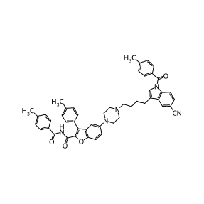 Cc1ccc(C(=O)NC(=O)c2oc3ccc(N4CCN(CCCCc5cn(C(=O)c6ccc(C)cc6)c6ccc(C#N)cc56)CC4)cc3c2-c2ccc(C)cc2)cc1